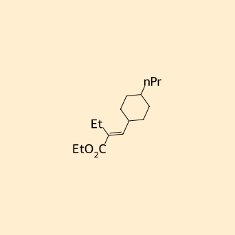 CCCC1CCC(/C=C(\CC)C(=O)OCC)CC1